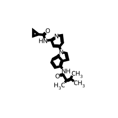 CC(C)=C(C)C(=O)Nc1cccc2c1ccn2-c1ccnc(NC(=O)C2CC2)c1